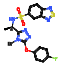 CCn1c(Oc2ccc(F)cc2)nnc1[C@@H](C)NS(=O)(=O)c1ccc2nsnc2c1